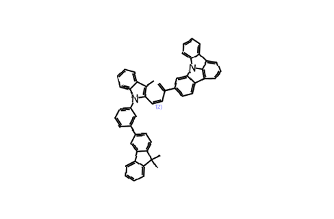 C=C(/C=C\c1c(C)c2ccccc2n1-c1cccc(-c2ccc3c(c2)-c2ccccc2C3(C)C)c1)c1ccc2c3cccc4c5ccccc5n(c2c1)c43